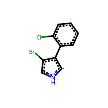 Clc1ccccc1-c1[c][nH]cc1Br